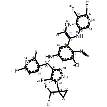 C=Nc1c(Cl)cc(N[C@@H](c2ccc(F)nc2C)c2nnn(C3(C(F)F)CC3)c2F)cc1/C(Nc1cnc(F)c(F)c1)=C(\C)C#N